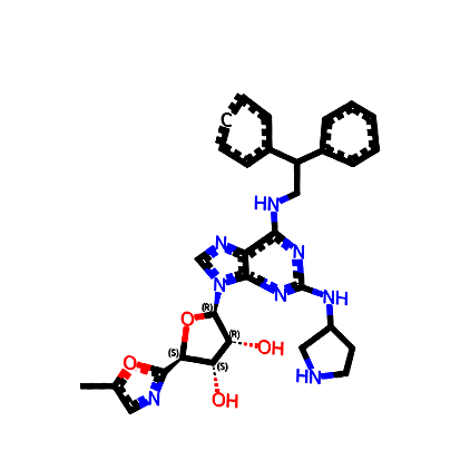 Cc1cnc([C@H]2O[C@@H](n3cnc4c(NCC(c5ccccc5)c5ccccc5)nc(NC5CCNC5)nc43)[C@H](O)[C@@H]2O)o1